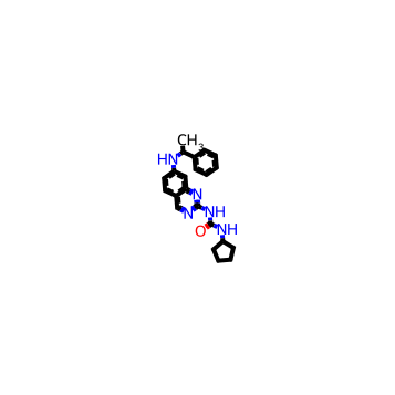 CC(Nc1ccc2cnc(NC(=O)NC3CCCC3)nc2c1)c1ccccc1